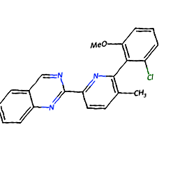 COc1cccc(Cl)c1-c1nc(-c2ncc3ccccc3n2)ccc1C